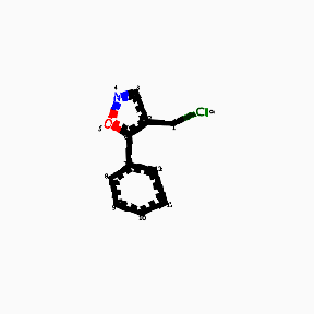 ClCc1cnoc1-c1ccccc1